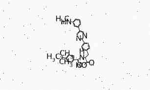 CNc1cccc(-c2cnc(-c3ccc(CC(NC(=O)c4ccc(C(C)(C)C)cc4)C(=O)O)cc3)nc2)c1